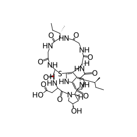 CC[C@H](C)[C@@H]1NC(=O)CNC(=O)[C@@H]2Cc3c([nH]c4ccccc34)S[C@H](NC(=O)CNC1=O)C(=O)NC(CC(=O)O)C(=O)N1C[C@H](O)C[C@H]1C(=O)N[C@@H]([C@@H](C)CC)C(=O)N2